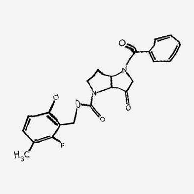 Cc1ccc(Cl)c(COC(=O)N2CCC3C2C(=O)CN3C(=O)c2ccccc2)c1F